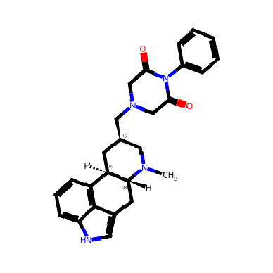 CN1C[C@H](CN2CC(=O)N(c3ccccc3)C(=O)C2)C[C@@H]2c3cccc4[nH]cc(c34)C[C@H]21